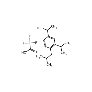 CC(C)Cc1ncc(C(C)C)cc1C(C)C.O=C(O)C(F)(F)F